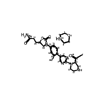 C1COCCN1.CC(=O)C1CNCCN1c1ncc(-c2ccc(N3CC(CCC(N)=O)OC3=O)cc2F)cn1